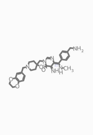 CN/C(=C1/N=CN(CC2(O)CCN(Cc3ccc4c(c3)OCCO4)CC2)C(=O)C1=N)c1ccc(CN)cc1